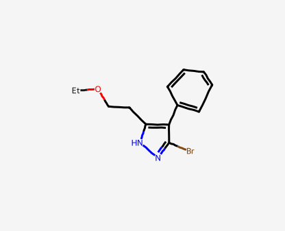 CCOCCc1[nH]nc(Br)c1-c1ccccc1